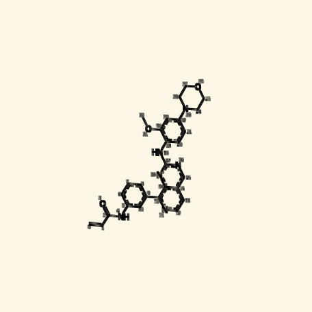 C=CC(=O)Nc1cccc(-c2nccc3cnc(Nc4ccc(N5CCOCC5)cc4OC)nc23)c1